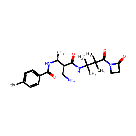 C[C@H](NC(=O)c1ccc(C(C)(C)C)cc1)[C@H](CN)C(=O)NC(C)(C)C(C)(C)C(=O)N1CCC1=O